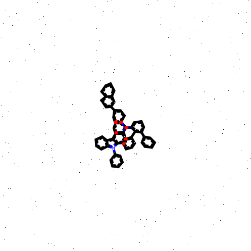 c1ccc(-c2ccccc2-c2c(-c3ccccc3)cccc2N(c2ccc(-c3ccc4ccccc4c3)cc2)c2ccc3c(c2)c2ccccc2n3-c2ccccc2)cc1